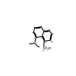 CN(C)c1cccc2cccc(S(=O)(=O)O)c12